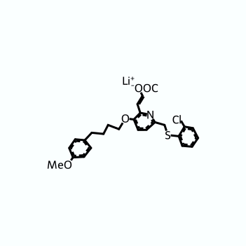 COc1ccc(CCCCOc2ccc(CSc3ccccc3Cl)nc2C=CC(=O)[O-])cc1.[Li+]